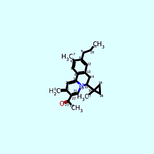 C=C1C=C2c3cc(C)c(CCC)cc3CC(C3(C)CC3)N2C=C1C(C)=O